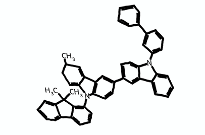 CC1C=c2c(n(-c3cccc4c3C(C)(C)c3ccccc3-4)c3ccc(-c4ccc5c(c4)c4ccccc4n5-c4cccc(-c5ccccc5)c4)cc23)=CC1